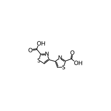 O=C(O)c1nc(-c2csc(C(=O)O)n2)cs1